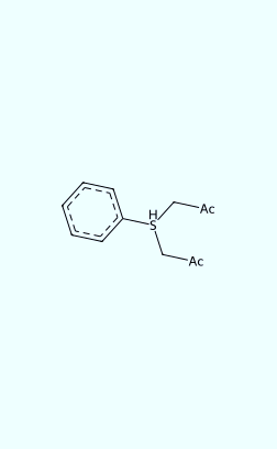 CC(=O)C[SH](CC(C)=O)c1ccccc1